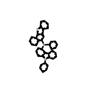 c1ccc(N(c2cc3c4ccccc4sc3c3ccccc23)c2cccc3c2c2ccccc2n3-c2ccccc2)cc1